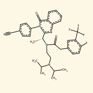 CC(C)N(CCN(C(=O)Cc1ccc(F)c(C(F)(F)F)c1)[C@H](C)c1nc2ccccc2c(=O)n1-c1ccc(C#N)cc1)C(C)C